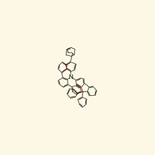 c1ccc(-c2cccc(-c3ccccc3)c2N(c2ccc(C3CC4CCC3CC4)cc2)c2ccc3c(c2)C(c2ccccc2)(c2ccccc2)c2ccccc2-3)cc1